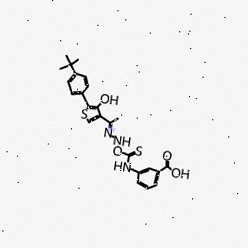 C/C(=N\NOC(=S)Nc1cccc(C(=O)O)c1)c1csc(-c2ccc(C(C)(C)C)cc2)c1O